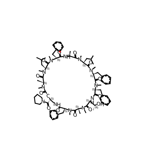 CC(C)C[C@H]1C(=O)N(C)[C@@H](Cc2ccccc2)C(=O)N(C)[C@@H](Cc2ccccc2)C(=O)N[C@@H]([C@@H](C)O)C(=O)N(C)[C@@H](C)C(=O)N(C)[C@@H](Cc2ccccc2)C(=O)N[C@H](C(=O)N2CCCCC2)CC(=O)N(C)[C@@H](C)C(=O)N(C)[C@@H](CC(C)C)C(=O)N(C)[C@@H](Cc2ccccc2)C(=O)N[C@@H](C)C(=O)N1C